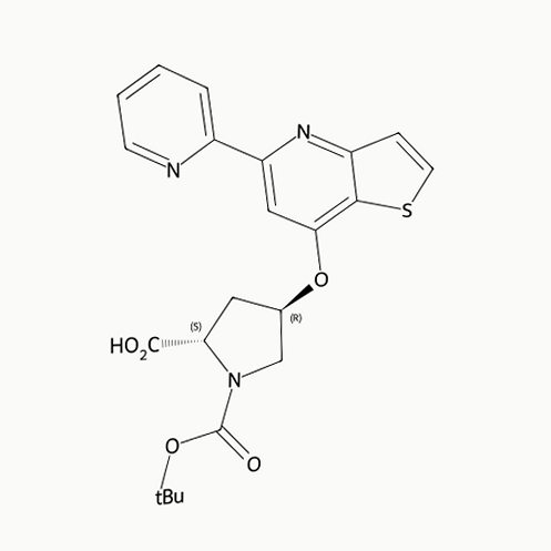 CC(C)(C)OC(=O)N1C[C@H](Oc2cc(-c3ccccn3)nc3ccsc23)C[C@H]1C(=O)O